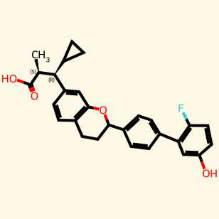 C[C@H](C(=O)O)[C@H](c1ccc2c(c1)OC(c1ccc(-c3cc(O)ccc3F)cc1)CC2)C1CC1